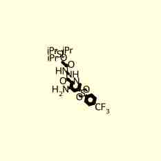 CC(C)[Si](OCC(=O)NNC(=O)c1ncc(S(=O)(=O)c2ccc(C(F)(F)F)cc2)cc1N)(C(C)C)C(C)C